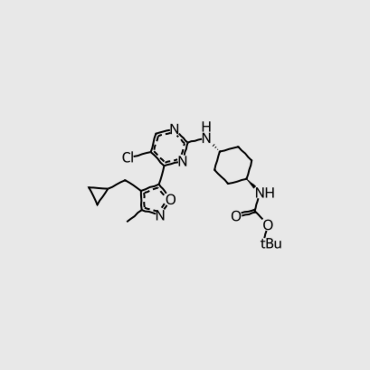 Cc1noc(-c2nc(N[C@H]3CC[C@H](NC(=O)OC(C)(C)C)CC3)ncc2Cl)c1CC1CC1